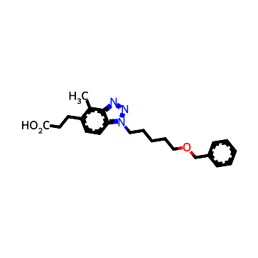 Cc1c(CCC(=O)O)ccc2c1nnn2CCCCCOCc1ccccc1